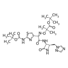 CC(C)(C)OC(=O)Nc1nc(C(=NOC(C)(C)C(=O)OC(C)(C)C)C(=O)N[C@@H]2C(=O)N[C@@H]2Cn2cncn2)cs1